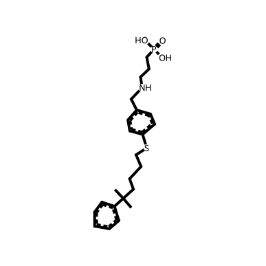 CC(C)(CCCCSc1ccc(CNCCCP(=O)(O)O)cc1)c1ccccc1